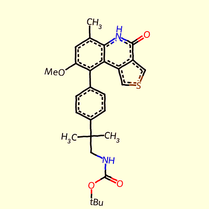 COc1cc(C)c2[nH]c(=O)c3cscc3c2c1-c1ccc(C(C)(C)CNC(=O)OC(C)(C)C)cc1